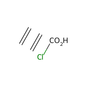 C=C.C=C.O=C(O)Cl